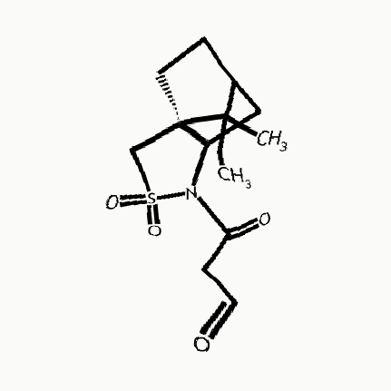 CC1(C)C2CC[C@]13CS(=O)(=O)N(C(=O)CC=O)C3C2